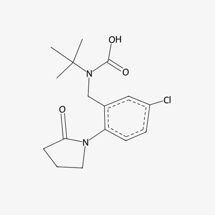 CC(C)(C)N(Cc1cc(Cl)ccc1N1CCCC1=O)C(=O)O